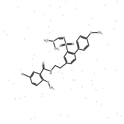 COc1ccc(Cl)cc1C(=O)NCCc1ccc(-c2ccc(SC)cc2)c(S(=O)(=O)/N=C\N(C)C)c1